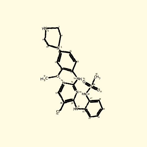 COc1cc(N2CCNCC2)ccc1Nc1ncc(Cl)c(Nc2ccccc2NS(C)(=O)=O)n1